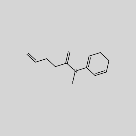 C=CCCC(=C)N(I)C1=CCCC=C1